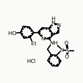 CCc1cc(O)ccc1-c1cc2[nH]ncc2c(NCc2ccccc2N(C)S(C)(=O)=O)n1.Cl